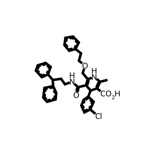 CC1=C(C(=O)O)C(c2cccc(Cl)c2)C(C(=O)NCCC(c2ccccc2)c2ccccc2)=C(COCCc2ccccc2)N1